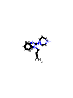 C/C=C/Cn1c(N2CCCNCC2)nc2ccccc21